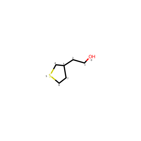 OCCC1[CH]SCC1